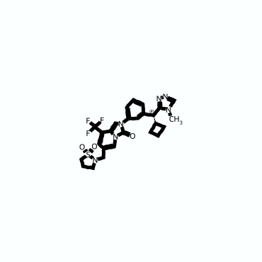 Cn1cnnc1[C@@H](c1cccc(-n2cc3c(C(F)(F)F)cc(CN4CCCS4(=O)=O)cn3c2=O)c1)C1CCC1